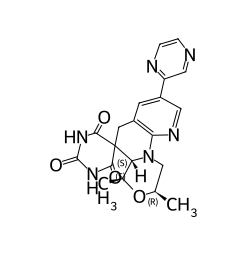 C[C@@H]1CN2c3ncc(-c4cnccn4)cc3CC3(C(=O)NC(=O)NC3=O)[C@H]2[C@H](C)O1